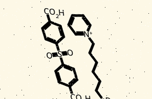 CCCCCCCCCCCCCCCC[n+]1ccccc1.O=C(O)c1ccc(S(=O)(=O)c2ccc(C(=O)O)cc2)cc1